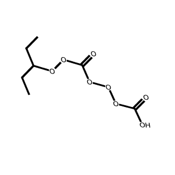 CCC(CC)OOC(=O)OOOC(=O)O